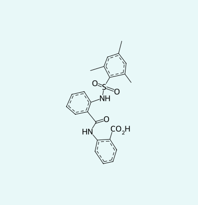 Cc1cc(C)c(S(=O)(=O)Nc2ccccc2C(=O)Nc2ccccc2C(=O)O)c(C)c1